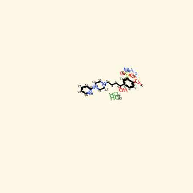 COc1ccc(C(O)CCCN2CCN(c3ccccn3)CC2)cc1S(N)(=O)=O.Cl.Cl